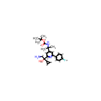 CC(C)(C)OC(=O)NC(C)(C)c1cc(-c2ccc(F)cc2)nc(C(O)(CN)C2CC2)c1